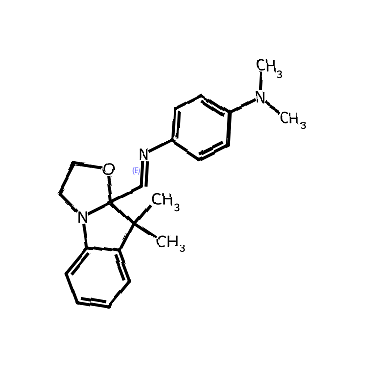 CN(C)c1ccc(/N=C/C23OCCN2c2ccccc2C3(C)C)cc1